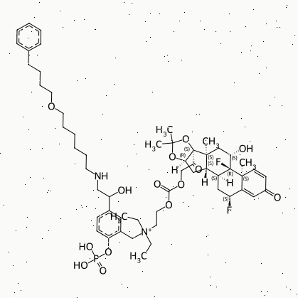 CC[N+](CC)(CCOC(=O)OCC(=O)[C@@]12OC(C)(C)O[C@@H]1C[C@H]1[C@@H]3C[C@H](F)C4=CC(=O)C=C[C@]4(C)[C@@]3(F)[C@@H](O)C[C@@]12C)Cc1cc(C(O)CNCCCCCCOCCCCc2ccccc2)ccc1OP(=O)(O)O